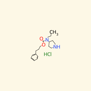 CCCN(C(=O)OCCCc1ccccc1)C1CCNCC1.Cl